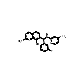 Cc1ccnc(NC(c2cccc(F)c2)c2ccc3ccc(C)nc3c2O)c1